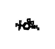 NC1C=CC(C(F)(F)F)=CC1(Cl)Cl